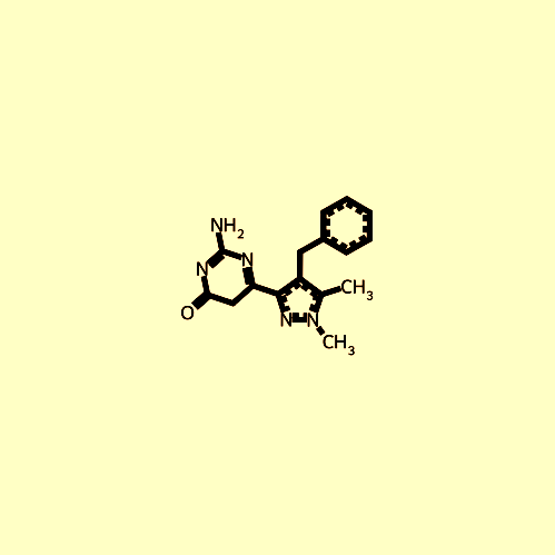 Cc1c(Cc2ccccc2)c(C2=NC(N)=NC(=O)C2)nn1C